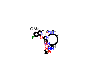 CC[C@@H]1C[C@@H](C)CCC=C[C@@H]2C[C@@]2(C(=O)NS(=O)(=O)C2(C)CC2)NC(=O)[C@@H]2C[C@@H](Oc3ncc(OC)c4ccc(F)cc34)CN2C(=O)[C@H]1NC(=O)O